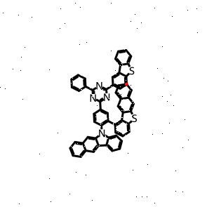 c1ccc(-c2nc(-c3ccc(-n4c5ccccc5c5cc6ccccc6cc54)c(-c4cccc5sc6cc7ccccc7cc6c45)c3)nc(-c3ccc4sc5ccccc5c4c3)n2)cc1